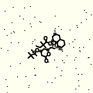 CCC(C)(C)C(=O)O[C@H]1C[C@H](C)CC2CC[C@H](C)[C@H](CC[C@@H]3C[C@@H](O[Si](C)(C)C(C)(C)C)CC(=O)O3)[C@@H]21